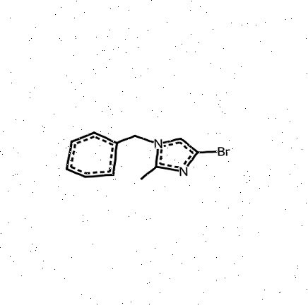 Cc1nc(Br)cn1Cc1ccccc1